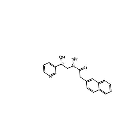 CCCN(C[C@@H](O)c1cccnc1)C(=O)Cc1ccc2ccccc2c1